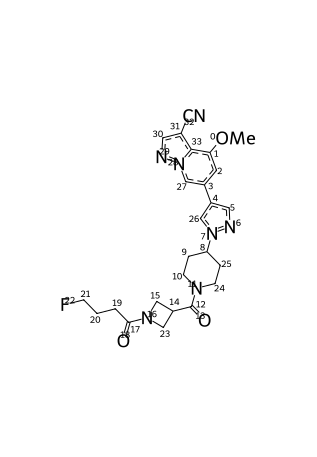 COc1cc(-c2cnn(C3CCN(C(=O)C4CN(C(=O)CCCF)C4)CC3)c2)cn2ncc(C#N)c12